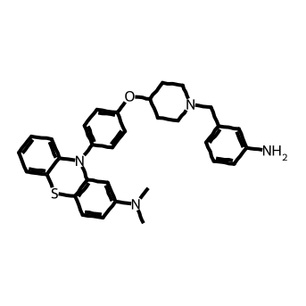 CN(C)c1ccc2c(c1)N(c1ccc(OC3CCN(Cc4cccc(N)c4)CC3)cc1)c1ccccc1S2